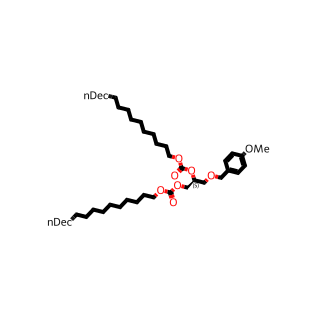 CCCCCCCCCCCCCCCCCCCCOC(=O)OC[C@H](COCc1ccc(OC)cc1)OC(=O)OCCCCCCCCCCCCCCCCCCCC